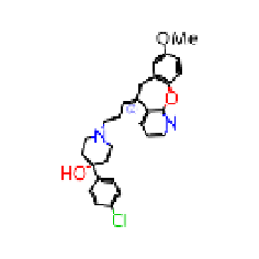 COc1ccc2c(c1)C/C(=C/CCN1CCC(O)(c3ccc(Cl)cc3)CC1)c1cccnc1O2